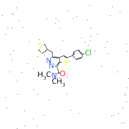 CN(C)C(=O)c1nnc(CC2CCSC2)c2cc(-c3ccc(Cl)cc3)sc12